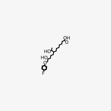 CC(O)C(CCCCCCC(=O)O)CCCC(O)COc1ccc(F)cc1